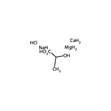 CC(O)C(=O)O.Cl.[CaH2].[MgH2].[NaH]